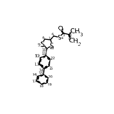 C=C(C)C(=O)SCC1CSC(c2ccc(-c3ccccc3)cc2)S1